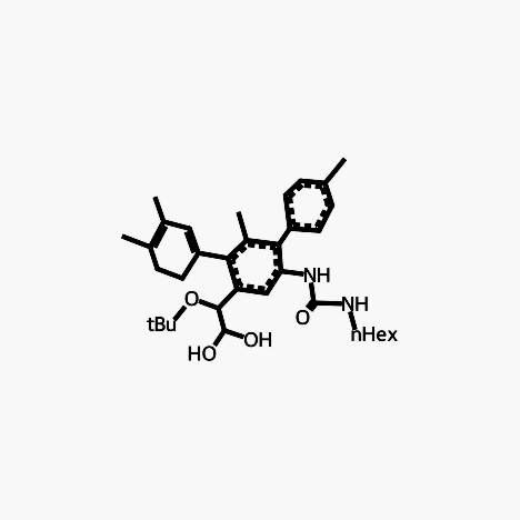 CCCCCCNC(=O)Nc1cc(C(OC(C)(C)C)C(O)O)c(C2=CC(C)=C(C)CC2)c(C)c1-c1ccc(C)cc1